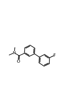 CN(C)C(=O)c1cccc(-c2cccc(F)c2)c1